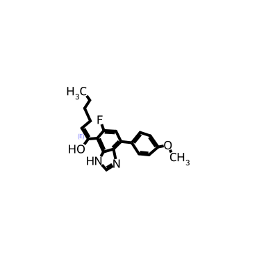 CCCC/C=C(/O)c1c(F)cc(-c2ccc(OC)cc2)c2nc[nH]c12